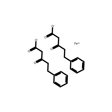 O=C([O-])CC(=O)CCc1ccccc1.O=C([O-])CC(=O)CCc1ccccc1.[Fe+2]